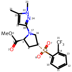 COC(=O)[C@@H]1C[C@@H](S(=O)(=O)c2ccccc2C(F)(F)F)CN1c1cc(C)n(C)n1